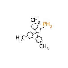 Cc1ccc(C(CCCP)(c2ccc(C)cc2)c2ccc(C)cc2)cc1